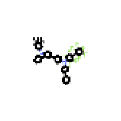 Cc1ccc(-n2c3ccccc3c3cc(-c4ccc(N(c5ccc(-c6ccccc6)cc5)c5c(F)c(F)c(-c6c(F)c(F)c(F)c(F)c6F)c(F)c5F)cc4)ccc32)cc1